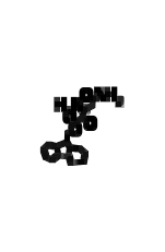 NC(=O)C[C@H](N)C(=O)C(=O)OCC1c2ccccc2-c2ccccc21